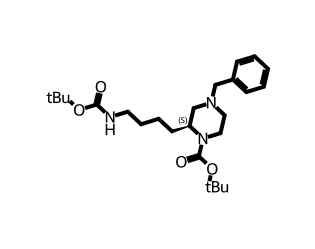 CC(C)(C)OC(=O)NCCCC[C@H]1CN(Cc2ccccc2)CCN1C(=O)OC(C)(C)C